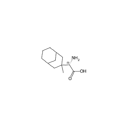 CC1([C@H](N)C(=O)O)CC2CCCC(C2)C1